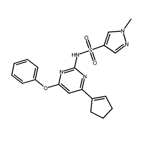 Cn1cc(S(=O)(=O)Nc2nc(Oc3ccccc3)cc(C3=CCCC3)n2)cn1